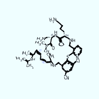 C=C(C)NC(=C)/C=C\C=C/C(O)NCc1cc(C#N)cc(Cl)c1Sc1ncccc1CN[C@@H](CCCN)C(=O)N[C@@H](CN)C(=O)N(C)C